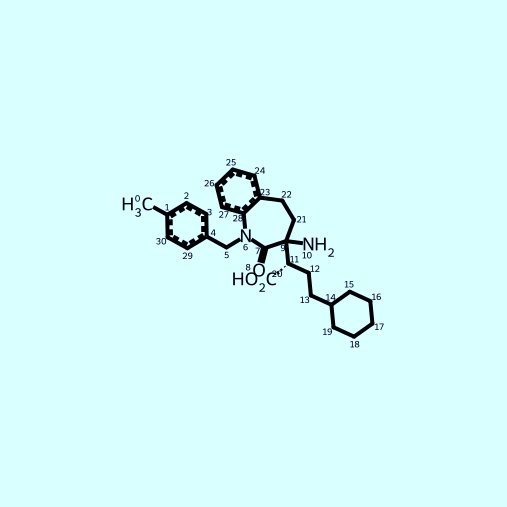 Cc1ccc(CN2C(=O)C(N)([C@H](CCC3CCCCC3)C(=O)O)CCc3ccccc32)cc1